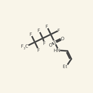 CC/C=C\NS(=O)(=O)C(F)(F)C(F)(F)C(F)(F)C(F)(F)F